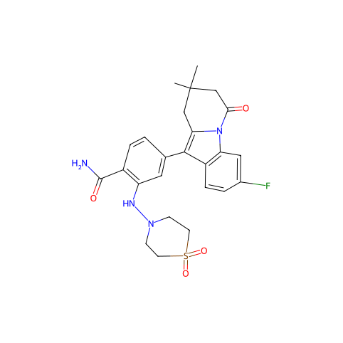 CC1(C)CC(=O)n2c(c(-c3ccc(C(N)=O)c(NN4CCS(=O)(=O)CC4)c3)c3ccc(F)cc32)C1